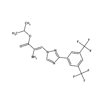 B/C(=C\n1cnc(-c2cc(C(F)(F)F)cc(C(F)(F)F)c2)n1)C(=O)OC(C)C